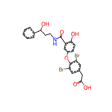 O=C(O)Cc1cc(Br)c(Oc2ccc(O)c(C(=O)NCCC(O)c3ccccc3)c2)c(Br)c1